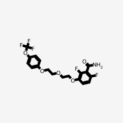 NC(=O)c1c(F)ccc(OCCOCCOc2ccc(OC(F)(F)F)cc2)c1F